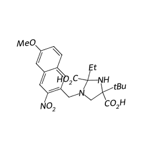 CCC1(C(=O)O)NC(C(=O)O)(C(C)(C)C)CN1Cc1cc2ccc(OC)cc2cc1[N+](=O)[O-]